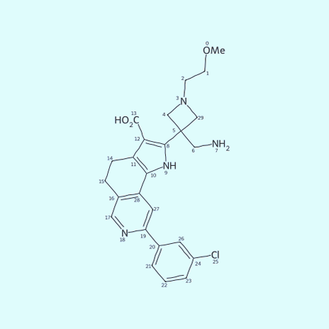 COCCN1CC(CN)(c2[nH]c3c(c2C(=O)O)CCc2cnc(-c4cccc(Cl)c4)cc2-3)C1